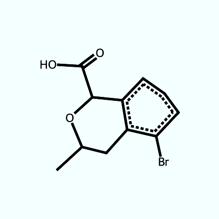 CC1Cc2c(Br)cccc2C(C(=O)O)O1